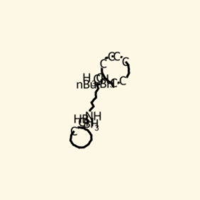 CCCCC(C)(BC1(C)CCCCCCCCCCCCCCC1)CCCCCCNBBC1(C)CCCCCCCCCCC1